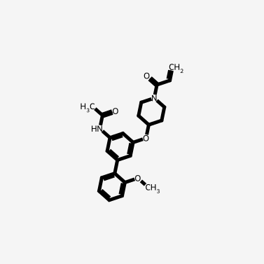 C=CC(=O)N1CCC(Oc2cc(NC(C)=O)cc(-c3ccccc3OC)c2)CC1